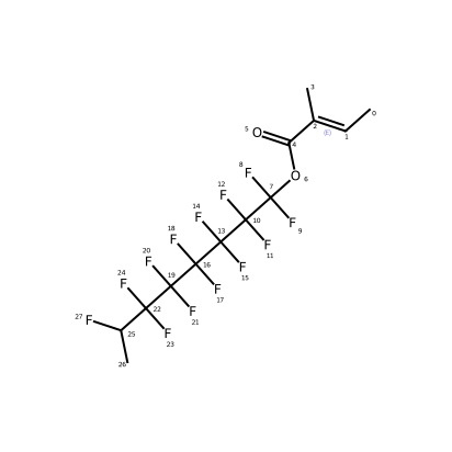 C/C=C(\C)C(=O)OC(F)(F)C(F)(F)C(F)(F)C(F)(F)C(F)(F)C(F)(F)C(C)F